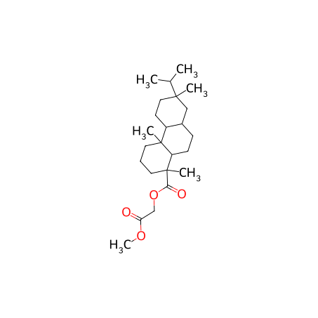 COC(=O)COC(=O)C1(C)CCCC2(C)C3CCC(C)(C(C)C)CC3CCC12